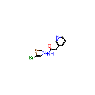 O=C(Cc1cccnc1)NN1C=C(Br)SC1